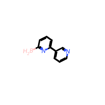 Bc1cccc(-c2cccnc2)n1